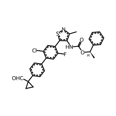 Cc1nsc(-c2cc(Cl)c(-c3ccc(C4(C=O)CC4)cc3)cc2F)c1NC(=O)O[C@H](C)c1ccccc1